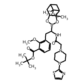 COc1c(CC(NC(=O)CN2CCN(c3nccs3)CC2)B2OC3CC4CC(C4(C)C)C3(C)O2)cccc1C(=O)OC(C)(C)C